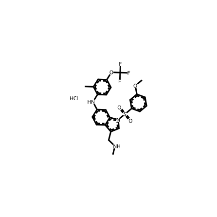 CNCc1cn(S(=O)(=O)c2cccc(OC)c2)c2cc(Nc3ccc(OC(F)(F)F)cc3C)ccc12.Cl